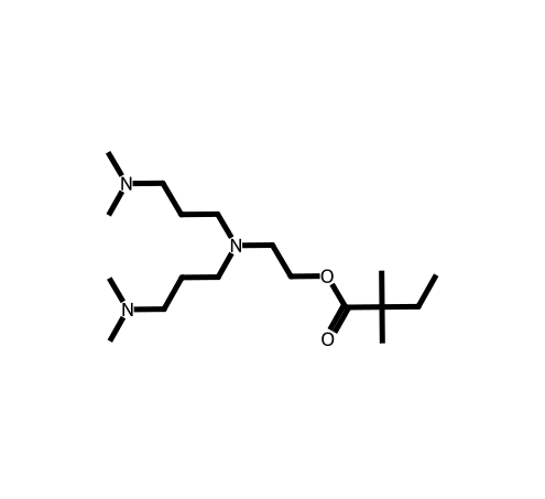 CCC(C)(C)C(=O)OCCN(CCCN(C)C)CCCN(C)C